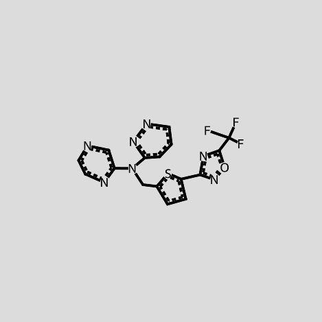 FC(F)(F)c1nc(-c2ccc(CN(c3cnccn3)c3cccnn3)s2)no1